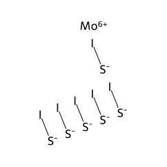 [Mo+6].[S-]I.[S-]I.[S-]I.[S-]I.[S-]I.[S-]I